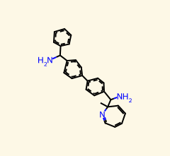 CC1(C(N)c2ccc(-c3ccc(C(N)c4ccccc4)cc3)cc2)C=CC=CC=N1